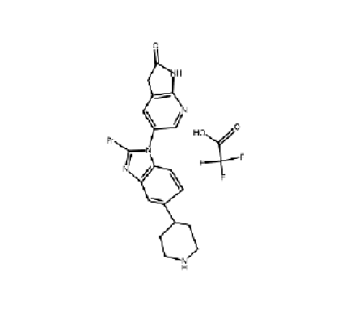 CC(C)c1nc2cc(C3CCNCC3)ccc2n1-c1cnc2c(c1)CC(=O)N2.O=C(O)C(F)(F)F